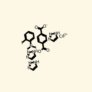 Ic1ccccc1N(I)I.O=C([O-])c1ccc(C(=O)[O-])cc1.[Cd+2].c1c[nH]nn1.c1c[nH]nn1.c1c[nH]nn1